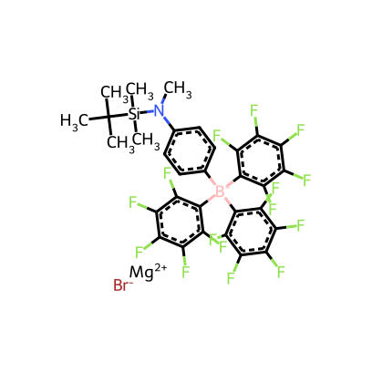 CN(c1ccc([B-](c2c(F)c(F)c(F)c(F)c2F)(c2c(F)c(F)c(F)c(F)c2F)c2c(F)c(F)c(F)c(F)c2F)cc1)[Si](C)(C)C(C)(C)C.[Br-].[Mg+2]